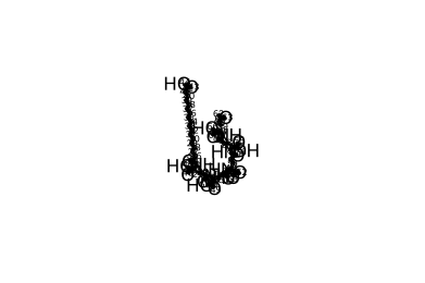 C=C(CC[C@H](NC(=O)CC[C@H](NC(=O)CC[C@H](NC(=O)CC[C@H](NC(=O)CCCCCCCCCCCCCCCCC(=O)O)C(=O)O)C(=O)O)C(=O)O)C(=O)O)N[C@@H](CCC(C)=O)C(=O)O